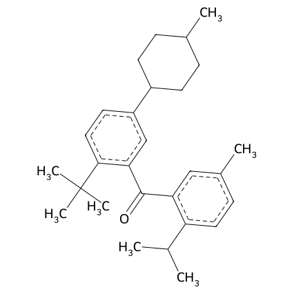 Cc1ccc(C(C)C)c(C(=O)c2cc(C3CCC(C)CC3)ccc2C(C)(C)C)c1